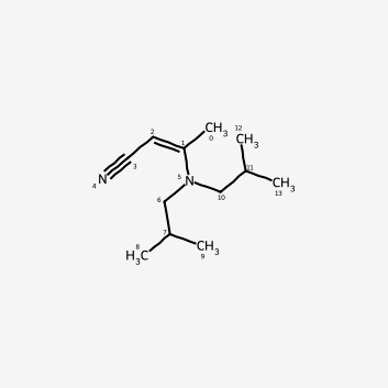 CC(=CC#N)N(CC(C)C)CC(C)C